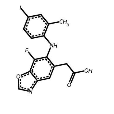 Cc1cc(I)ccc1Nc1c(CC(=O)O)cc2ncoc2c1F